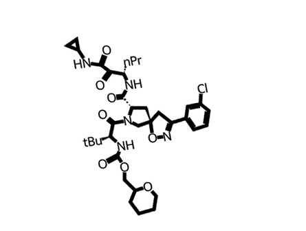 CCC[C@H](NC(=O)[C@@H]1C[C@]2(CC(c3cccc(Cl)c3)=NO2)CN1C(=O)[C@@H](NC(=O)OCC1CCCCO1)C(C)(C)C)C(=O)C(=O)NC1CC1